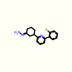 NN=C1CCCC(c2cccc(-c3ccccc3F)n2)C1